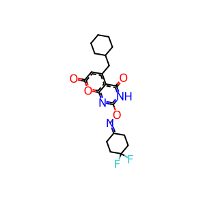 O=c1cc(CC2CCCCC2)c2c(=O)[nH]c(ON=C3CCC(F)(F)CC3)nc2o1